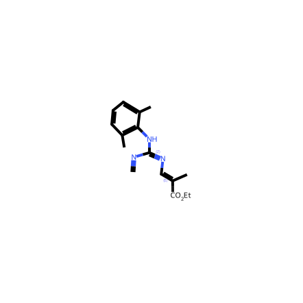 C=N/C(=N\C=C(/C)C(=O)OCC)Nc1c(C)cccc1C